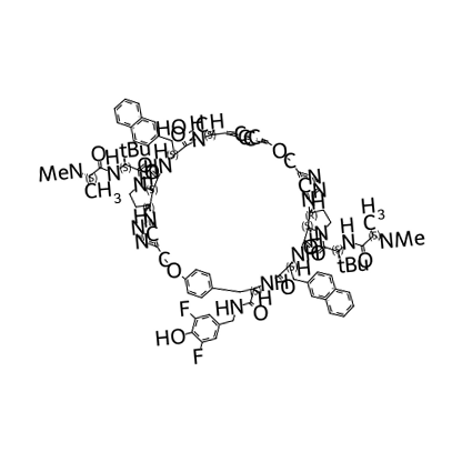 CN[C@@H](C)C(=O)N[C@H](C(=O)N1CC[C@@H]2[C@H]1C(=O)N[C@@H](Cc1ccc3ccccc3c1)C(=O)N[C@H](C(=O)NCc1cc(F)c(O)c(F)c1)Cc1ccc(cc1)OCc1cn(nn1)[C@@H]1CCN(C(=O)[C@@H](NC(=O)[C@H](C)NC)C(C)(C)C)[C@@H]1C(=O)N[C@@H](Cc1ccc3ccccc3c1)C(=O)N[C@H](C(=O)O)c1ccc(cc1)OCc1cn2nn1)C(C)(C)C